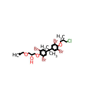 C#CCOC[C@@H](O)COc1c(Br)cc(C(C)(C)c2cc(Br)c(OC[C@H](C)CCl)c(Br)c2)cc1Br